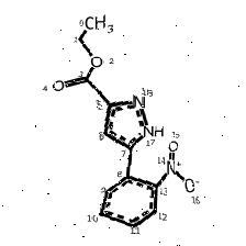 CCOC(=O)c1cc(-c2ccccc2[N+](=O)[O-])[nH]n1